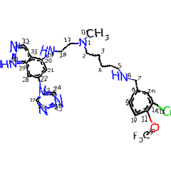 CN(CCCCNCc1ccc(OC(F)(F)F)c(Cl)c1)CCNc1cc(-n2cnnc2)cc2[nH]ncc12